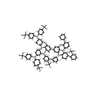 CC(C)(C)c1ccc(N(c2ccc(C(C)(C)C)cc2)c2ccc3c(c2)Oc2cc(-c4cc5c6c(c4)Oc4c(cccc4-c4ccccc4)B6c4cc(-c6ccccc6C(C)(C)C)ccc4O5)cc4c2B3c2ccc(N(c3ccc(C(C)(C)C)cc3)c3ccc(C(C)(C)C)cc3)cc2N4c2ccc(C(C)(C)C)c(-c3ccccc3)c2)cc1